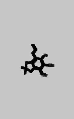 C=CCc1c2c(c(C(C)C)c(OC(C)=O)c1C(C)C)CC(C)(C)O2